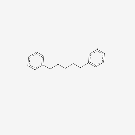 [c]1cccc(CCCCCc2ccccc2)c1